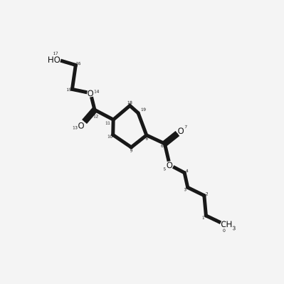 CCCCCOC(=O)C1CCC(C(=O)OCCO)CC1